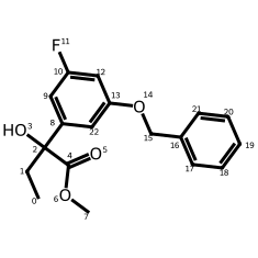 CCC(O)(C(=O)OC)c1cc(F)cc(OCc2ccccc2)c1